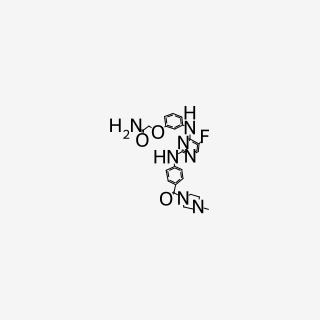 CN1CCN(C(=O)c2ccc(Nc3ncc(F)c(Nc4cccc(OCC(N)=O)c4)n3)cc2)CC1